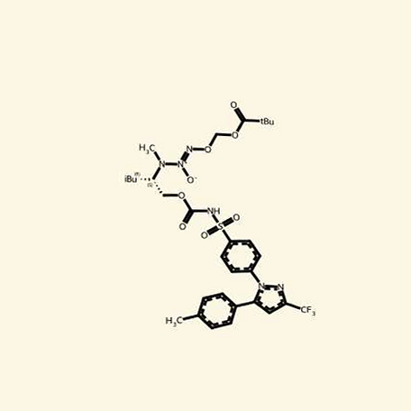 CC[C@@H](C)[C@@H](COC(=O)NS(=O)(=O)c1ccc(-n2nc(C(F)(F)F)cc2-c2ccc(C)cc2)cc1)N(C)[N+]([O-])=NOCOC(=O)C(C)(C)C